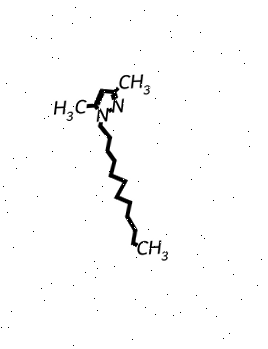 CCCCCCCCCCCCn1nc(C)cc1C